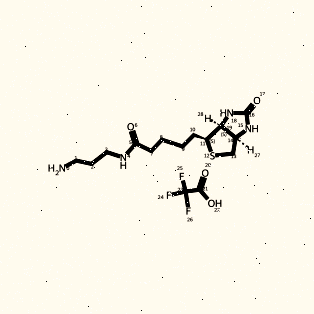 NCCCNC(=O)CCCC[C@@H]1SC[C@@H]2NC(=O)N[C@@H]21.O=C(O)C(F)(F)F